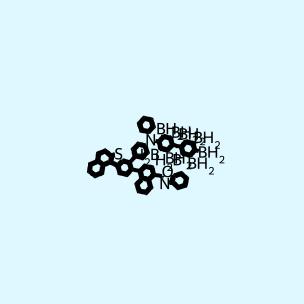 Bc1c(B)c(B)c(-c2c(B)c(B)c(N(c3ccccc3)c3ccc(-c4c(-c5ccc(-c6nc7ccccc7o6)c6ccccc56)ccc5c4sc4ccc6ccccc6c45)cc3)c(B)c2B)c(B)c1B